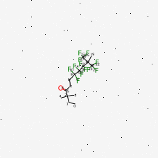 CCC(C)(C)C(=O)CCC(F)(F)C(F)(F)C(F)(F)C(C)(C(F)(F)F)C(F)(F)F